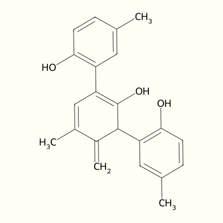 C=C1C(C)=CC(c2cc(C)ccc2O)=C(O)C1c1cc(C)ccc1O